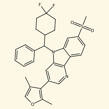 Cc1coc(C)c1-c1cnc2c3ccc(S(C)(=O)=O)cc3n(C(c3ccccc3)C3CCC(F)(F)CC3)c2c1